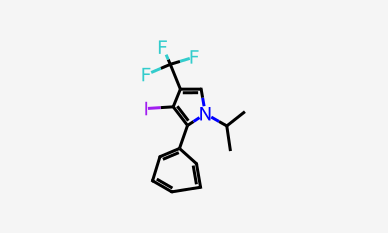 CC(C)n1cc(C(F)(F)F)c(I)c1-c1ccccc1